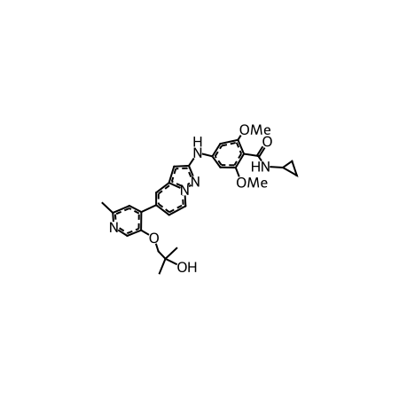 COc1cc(Nc2cc3cc(-c4cc(C)ncc4OCC(C)(C)O)ccn3n2)cc(OC)c1C(=O)NC1CC1